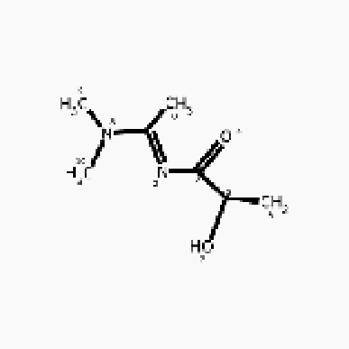 C/C(=N\C(=O)[C@@H](C)O)N(C)C